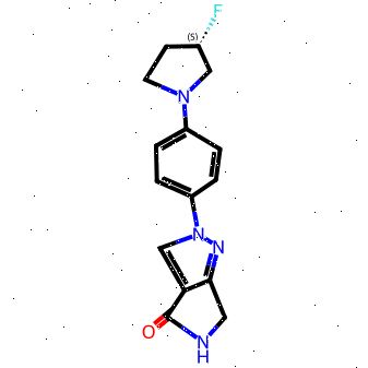 O=C1NCc2nn(-c3ccc(N4CC[C@H](F)C4)cc3)cc21